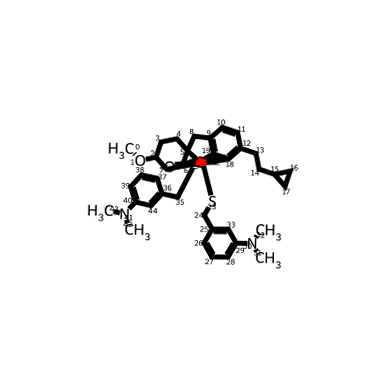 COC1CCC2(CC1)Cc1ccc(CCC3CC3)cc1C21N=C(SCc2cccc(N(C)C)c2)N(Cc2cccc(N(C)C)c2)C1=O